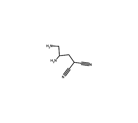 N#CC(C#N)CC(N)CN